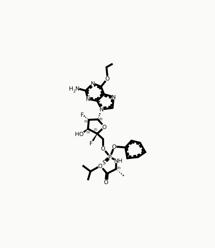 CCOc1nc(N)nc2c1ncn2[C@@H]1O[C@](F)(COP(=S)(N[C@H](C)C(=O)OC(C)C)Oc2ccccc2)[C@@H](O)[C@@H]1F